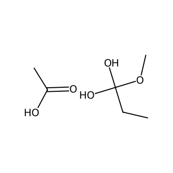 CC(=O)O.CCC(O)(O)OC